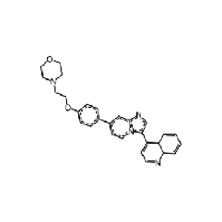 C1=CC2N=CC=C(c3cnc4cc(-c5ccc(OCCN6CCOCC6)cc5)ccn34)C2C=C1